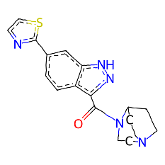 O=C(c1n[nH]c2cc(-c3nccs3)ccc12)N1CCN2CCC1CC2